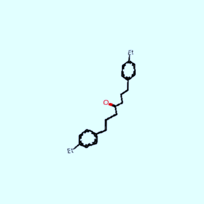 CCc1ccc(CCCC(=O)CCCc2ccc(CC)cc2)cc1